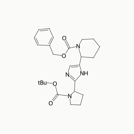 CC(C)(C)OC(=O)N1CCCC1c1ncc(C2CCCCN2C(=O)OCc2ccccc2)[nH]1